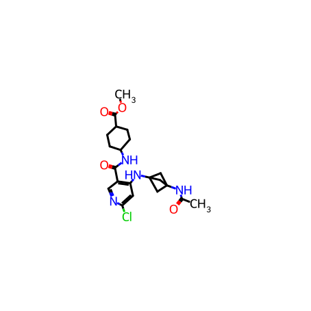 COC(=O)C1CCC(NC(=O)c2cnc(Cl)cc2NC23CC(NC(C)=O)(C2)C3)CC1